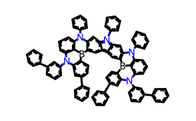 c1ccc(-c2cccc(N3c4cc(-c5ccccc5)ccc4B4c5cc6c7cc8c(cc7n(-c7ccccc7)c6cc5N(c5ccccc5)c5cccc3c54)N(c3ccccc3)c3cccc4c3B8c3ccc(-c5ccccc5)cc3N4c3cccc(-c4ccccc4)c3)c2)cc1